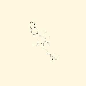 CC1(c2ccc3sccc3c2)CC(=O)N(CCCN2CCCC2=O)C(=N)N1